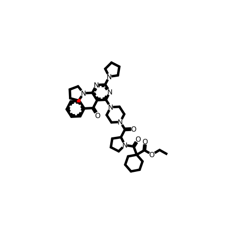 CCOC(=O)C1(C(=O)N2CCCC2C(=O)N2CCN(c3nc(N4CCCC4)nc(N4CCCC4)c3C(=O)c3ccccc3)CC2)CCCCC1